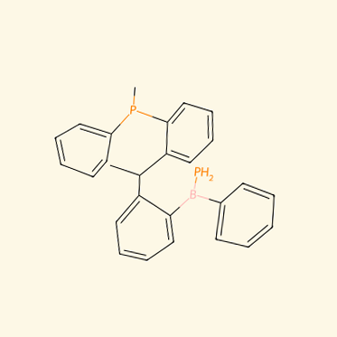 CC(c1ccccc1B(P)c1ccccc1)c1ccccc1P(C)c1ccccc1